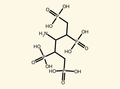 NC(C(CP(=O)(O)O)P(=O)(O)O)C(CP(=O)(O)O)P(=O)(O)O